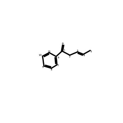 C=C(CC=CC)c1ccccc1